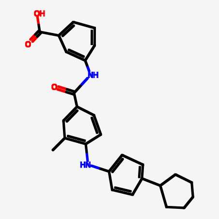 Cc1cc(C(=O)Nc2cccc(C(=O)O)c2)ccc1Nc1ccc(C2CCCCC2)cc1